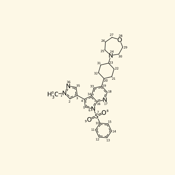 Cn1cc(-c2cn(S(=O)(=O)c3ccccc3)c3ncc(C4CCC(N5CCCOCC5)CC4)cc23)cn1